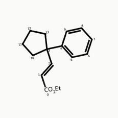 CCOC(=O)C=CC1(c2ccccc2)CCCC1